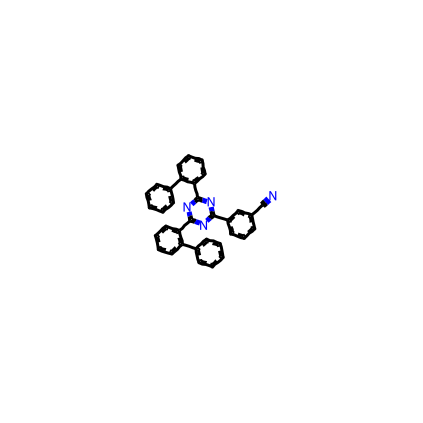 N#Cc1cccc(-c2nc(-c3ccccc3-c3ccccc3)nc(-c3ccccc3-c3ccccc3)n2)c1